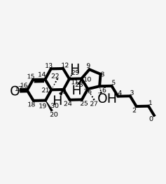 CCCCCC[C@]1(O)CC[C@H]2[C@@H]3CCC4=CC(=O)C[C@H](C)[C@]4(C)[C@H]3CC[C@@]21C